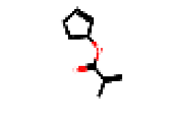 C=C(C)C(=O)OC1C=CCC1